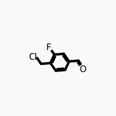 O=Cc1ccc(CCl)c(F)c1